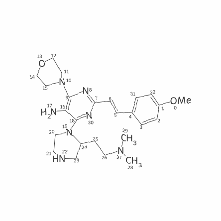 COc1ccc(C=Cc2nc(N3CCOCC3)c(N)c(N3CCNCC3CCN(C)C)n2)cc1